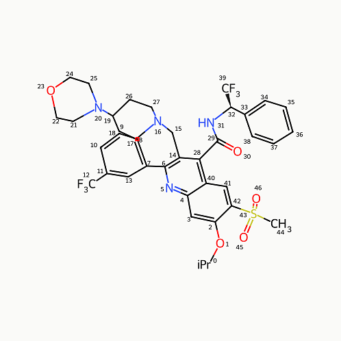 CC(C)Oc1cc2nc(-c3cccc(C(F)(F)F)c3)c(CN3CCC(N4CCOCC4)CC3)c(C(=O)N[C@H](c3ccccc3)C(F)(F)F)c2cc1S(C)(=O)=O